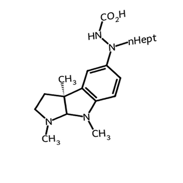 CCCCCCCN(NC(=O)O)c1ccc2c(c1)[C@]1(C)CCN(C)C1N2C